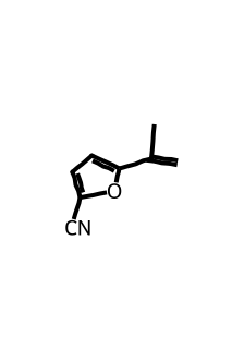 C=C(C)c1ccc(C#N)o1